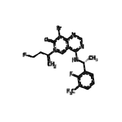 C=C(CCF)n1cc2c(N[C@H](C)c3cccc(C(F)(F)F)c3F)ncnc2c(Br)c1=O